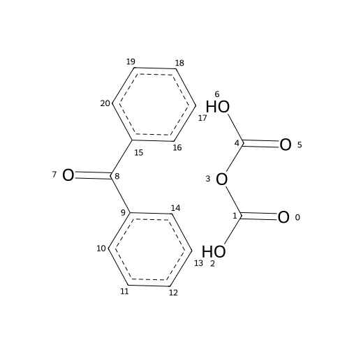 O=C(O)OC(=O)O.O=C(c1ccccc1)c1ccccc1